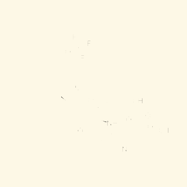 COc1ccnc(C(=O)N[C@H]2COC[C@H](CCCc3ccccc3)[C@@H](Cc3ccc(OC(F)(F)F)cc3)[C@H](C)OC2=O)c1OC(C)=O